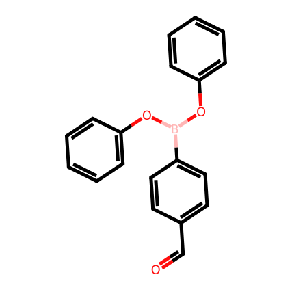 O=Cc1ccc(B(Oc2ccccc2)Oc2ccccc2)cc1